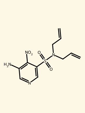 C=CCN(CC=C)S(=O)(=O)c1cncc(N)c1[N+](=O)[O-]